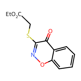 CCOC(=O)CSc1noc2ccccc2c1=O